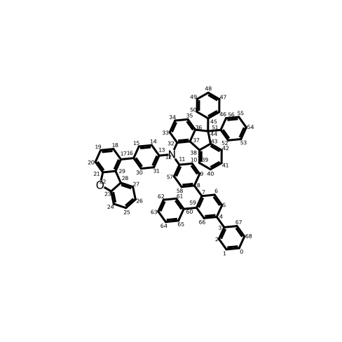 c1ccc(-c2ccc(-c3ccc(N(c4ccc(-c5cccc6oc7ccccc7c56)cc4)c4cccc5c4-c4ccccc4C5(c4ccccc4)c4ccccc4)cc3)c(-c3ccccc3)c2)cc1